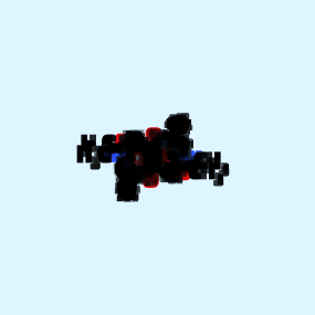 CN[C@@H](C)C(=O)N[C@H](C(=O)N1CCCC[C@H]1CN(CCc1ccccc1)C(=O)c1ccc2cc(C(=O)N(CCc3ccccc3)C[C@@H]3CCCCN3C(=O)[C@@H](NC(=O)[C@H](C)NC)C3CCCCC3)ccc2c1)C1CCCCC1